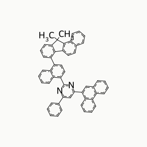 CC1(C)c2cccc(-c3ccc(-c4nc(-c5ccccc5)cc(-c5cc6ccccc6c6ccccc56)n4)c4ccccc34)c2-c2ccc3ccccc3c21